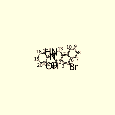 O=C1c2cc(Br)c3ccccc3c2CNN1C1CCCCC1O